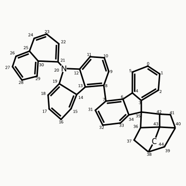 c1ccc2c(c1)-c1c(-c3cccc4c3c3ccccc3n4-c3cccc4ccccc34)cccc1C21C2CC3CC4CC1C42C3